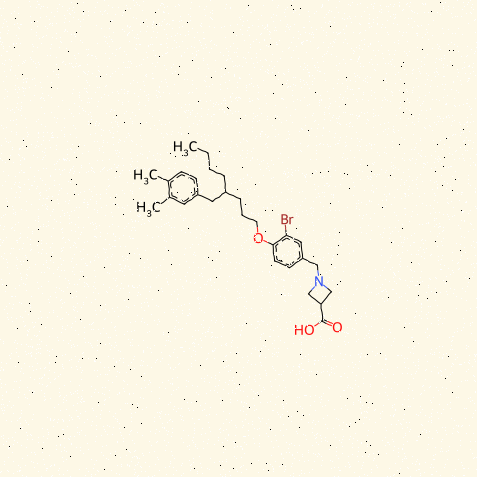 CCCCC(CCCOc1ccc(CN2CC(C(=O)O)C2)cc1Br)Cc1ccc(C)c(C)c1